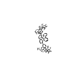 CC12CCCCC1(C)N(c1c(F)c(F)c(F)c(F)c1F)c1ccc(-c3ccc4c(c3)C3(c5ccccc5-c5ccccc53)c3cc(-c5ccc6c(c5)C5(C)CCCCC5(C)N6c5c(F)c(F)c(F)c(F)c5F)ccc3-4)cc12